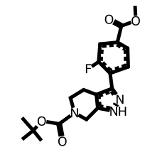 COC(=O)c1ccc(-c2n[nH]c3c2CCN(C(=O)OC(C)(C)C)C3)c(F)c1